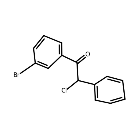 O=C(c1cccc(Br)c1)C(Cl)c1ccccc1